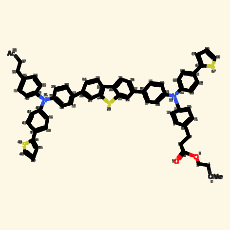 COCCOC(=O)CCc1ccc(N(c2ccc(-c3ccc4c(c3)sc3cc(-c5ccc(N(c6ccc(CCC(C)=O)cc6)c6ccc(-c7cccs7)cc6)cc5)ccc34)cc2)c2ccc(-c3cccs3)cc2)cc1